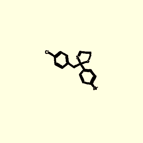 Clc1ccc(CC2(c3ccc(Br)cc3)SCCS2)cc1